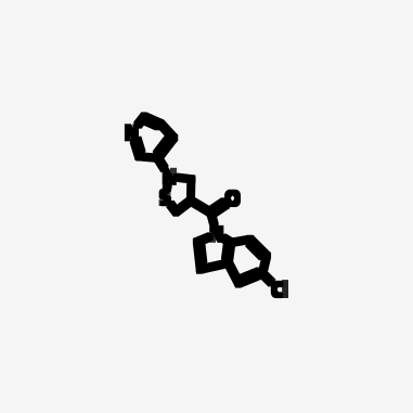 O=C(C1CSN(c2cccnc2)C1)n1ccc2cc(Cl)ccc21